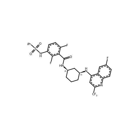 CC(C)S(=O)(=O)Nc1ccc(F)c(C(=O)N[C@@H]2CCC[C@H](Nc3cc(C(F)(F)F)nc4ccc(F)cc34)C2)c1F